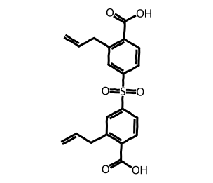 C=CCc1cc(S(=O)(=O)c2ccc(C(=O)O)c(CC=C)c2)ccc1C(=O)O